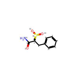 NC(=O)C(Cc1ccccc1)=S(=O)=O